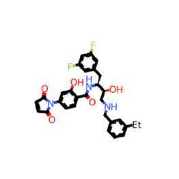 CCc1cccc(CNC[C@H](O)[C@H](Cc2cc(F)cc(F)c2)NC(=O)c2ccc(N3C(=O)C=CC3=O)cc2O)c1